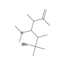 C=C(C)C(C)C(C(C)C(C)(C)C(C)(C)C)N(C)C